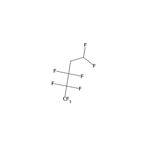 FC(F)CC(F)(F)C(F)(F)C(F)(F)F